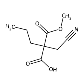 CCCC(CC#N)(C(=O)O)C(=O)OC